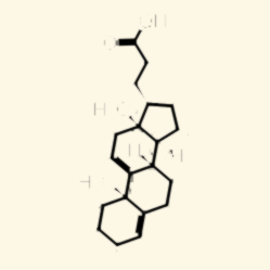 C[C@]12CCCC=C1CC[C@@H]1C2=CC[C@]2(C)[C@@H](CCC(=O)O)CC[C@@H]12